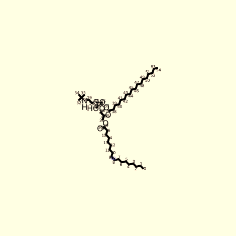 CCCCCCCC/C=C\CCCCCCCC(=O)OCC(COP(=O)(O)OCCNC(C)(C)C)OC(=O)CCCCCCCCCCCCCCCCC